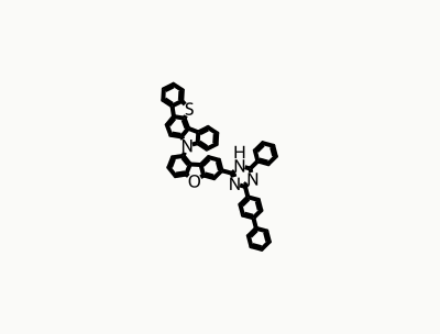 c1ccc(-c2ccc(C3=NC(c4ccccc4)NC(c4ccc5c(c4)oc4cccc(-n6c7ccccc7c7c8sc9ccccc9c8ccc76)c45)=N3)cc2)cc1